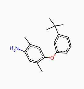 Cc1cc(Oc2cccc(C(C)(C)C)c2)c(C)cc1N